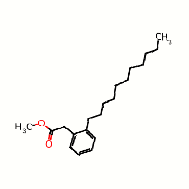 CCCCCCCCCCCc1ccccc1CC(=O)OC